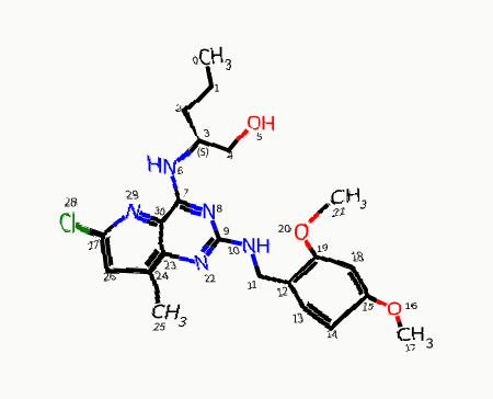 CCC[C@@H](CO)Nc1nc(NCc2ccc(OC)cc2OC)nc2c(C)cc(Cl)nc12